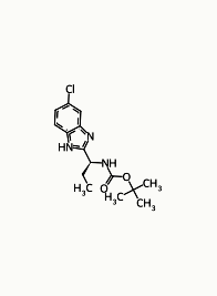 CC[C@H](NC(=O)OC(C)(C)C)c1nc2cc(Cl)ccc2[nH]1